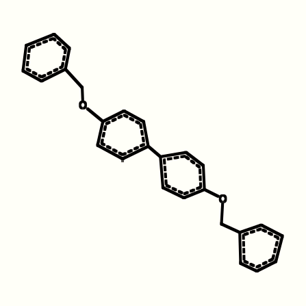 [c]1cc(OCc2ccccc2)ccc1-c1ccc(OCc2ccccc2)cc1